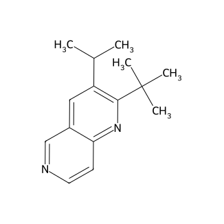 CC(C)c1cc2cnccc2nc1C(C)(C)C